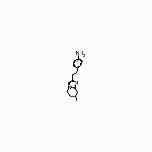 CC1CCn2cc(CCc3ccc(N)cc3)nc2C1